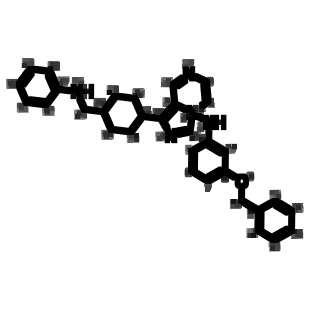 C1=C[N+]2(Nc3cccc(OCc4ccccc4)c3)C=NC(C3CCC(CNc4ccccc4)CC3)=C2C=N1